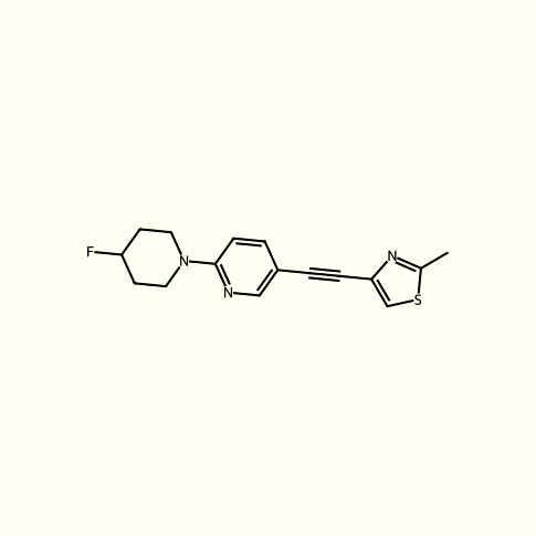 Cc1nc(C#Cc2ccc(N3CCC(F)CC3)nc2)cs1